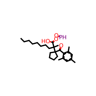 CCCCCCCCC(C)(C(=O)O)C1(C(=O)c2c(C)cc(C)cc2C)CCCC1.O=P